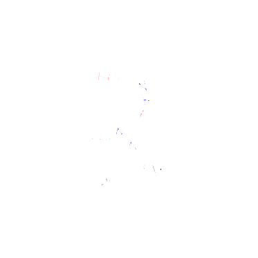 Cc1cc(C(C)C)cc2c(=O)n(C[C@@H](O)C[C@H]3NCCC[C@@H]3O)cnc12